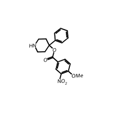 COc1ccc(C(=O)OC2(c3ccccc3)CCNCC2)cc1[N+](=O)[O-]